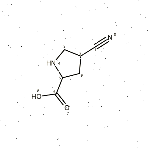 N#CC1CNC(C(=O)O)C1